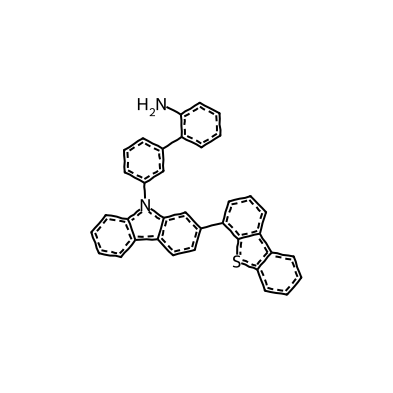 Nc1ccccc1-c1cccc(-n2c3ccccc3c3ccc(-c4cccc5c4sc4ccccc45)cc32)c1